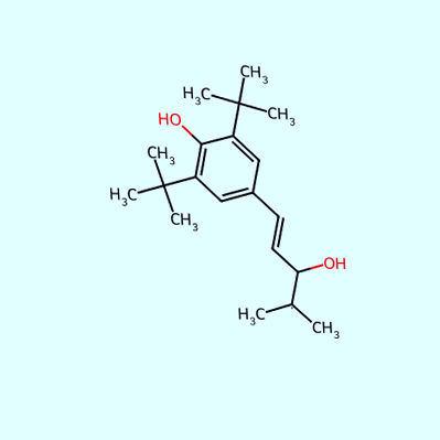 C[C](C)C(O)C=Cc1cc(C(C)(C)C)c(O)c(C(C)(C)C)c1